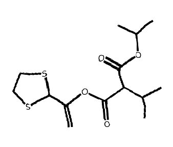 C=C(OC(=O)C(C(=O)OC(C)C)C(C)C)C1SCCS1